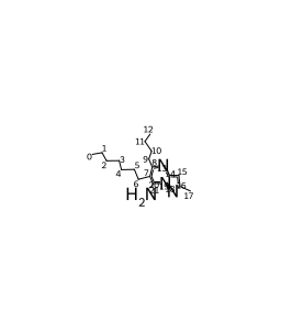 CCCCCCCc1c(CCCC)nc2cc(C)nn2c1N